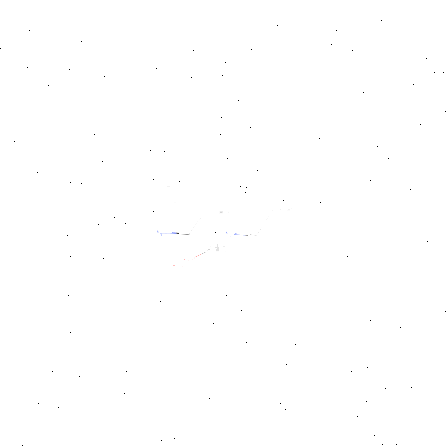 CCCO.NCC(=O)[O-].NCC(=O)[O-].[K+].[K+]